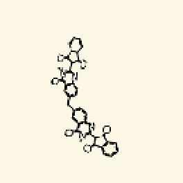 Cn1c(C2C(=O)c3ccccc3C2=O)nc2ccc(Cc3ccc4nc(C5C(=O)C6C=CC=CC6C5=O)n(C)c(=O)c4c3)cc2c1=O